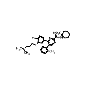 Cc1ccccc1-c1cnc(C(=O)NC2(C(=O)O)CCCCC2)nc1-c1ccc(Cl)c(OCCCN(C)C)c1